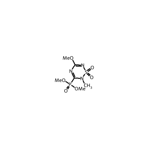 COC1=NS(=O)(=O)N(C)C(P(=O)(OC)OC)=N1